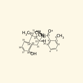 Cc1ccccc1C(=O)N1CCC2(C)c3cccc(O)c3C[C@@H]1C2(C)C